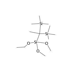 CCO[Si](OC)(OC)C(C)([Si](C)(C)C)[Si](C)(C)C